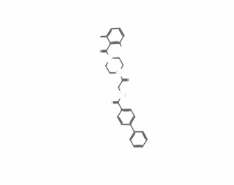 O=C(NCC(=O)N1CCN(C(=O)c2c(F)cccc2F)CC1)c1ccc(-c2ccccc2)cc1